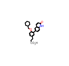 O=C(O)CCc1ccc(OCC2CCCCC2)c(-c2ccc3[nH]c(=O)ccc3c2)c1